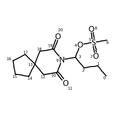 CCCC(OS(C)(=O)=O)N1C(=O)CC2(CCCC2)CC1=O